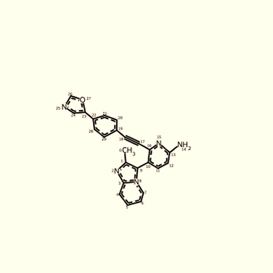 Cc1nc2ccccn2c1-c1ccc(N)nc1C#Cc1ccc(-c2cnco2)cc1